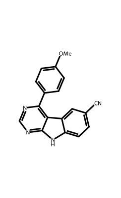 COc1ccc(-c2ncnc3[nH]c4ccc(C#N)cc4c23)cc1